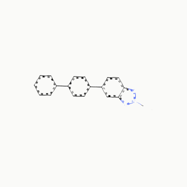 Cn1nc2ccc(-c3ccc(-c4ccccc4)cc3)cc2n1